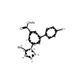 COC(=O)c1cc(-c2ccc(F)cc2)cc(-n2nnnc2C(C)(C)C)c1